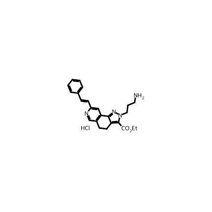 CCOC(=O)c1c2c(nn1CCCN)-c1cc(/C=C/c3ccccc3)ncc1CC2.Cl